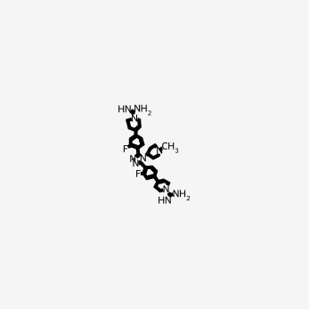 CN1CCC(n2c(-c3ccc(C4=CCN(C(=N)N)CC4)cc3F)nnc2-c2ccc(C3=CCN(C(=N)N)CC3)cc2F)CC1